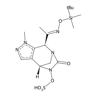 C/C(=N\O[Si](C)(C)C(C)(C)C)[C@@H]1c2c(cnn2C)[C@@H]2CN1C(=O)N2OS(=O)(=O)O